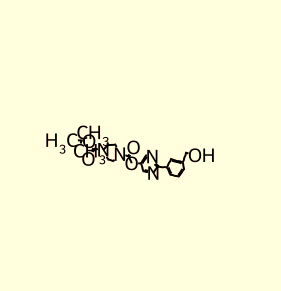 CC(C)(C)OC(=O)N1CCN(C(=O)Oc2cnc(-c3cccc(CO)c3)nc2)CC1